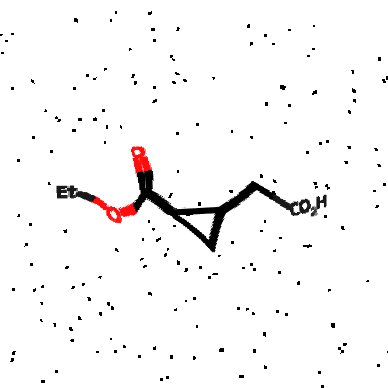 CCOC(=O)C1CC1CC(=O)O